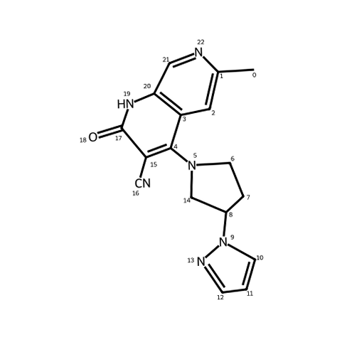 Cc1cc2c(N3CCC(n4cccn4)C3)c(C#N)c(=O)[nH]c2cn1